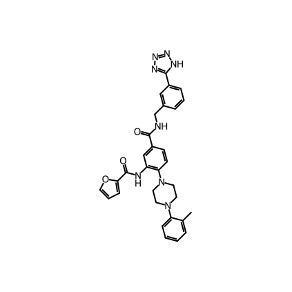 Cc1ccccc1N1CCN(c2ccc(C(=O)NCc3cccc(-c4nnn[nH]4)c3)cc2NC(=O)c2ccco2)CC1